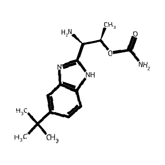 C[C@@H](OC(N)=O)[C@H](N)c1nc2cc(C(C)(C)C)ccc2[nH]1